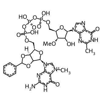 CO[C@@H]1C(O)[C@H](n2cnc3c(=O)[nH]c(C)nc32)O[C@@H]1COP(=O)(O)OP(=O)(O)OP(=O)(O)OC[C@H]1O[C@@H](n2c[n+](C)c3c(=O)[nH]c(N)nc32)C2OC(c3ccccc3)O[C@H]21